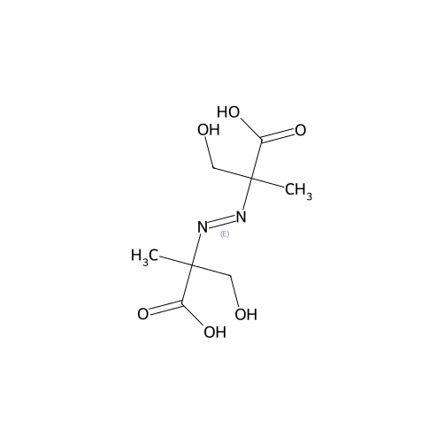 CC(CO)(/N=N/C(C)(CO)C(=O)O)C(=O)O